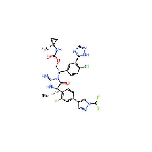 CC(C)(C)C[C@]1(c2ccc(-c3cnn(C(F)F)c3)cc2F)NC(=N)N([C@H](COC(=O)NC2(C(F)(F)F)CC2)c2ccc(Cl)c(-c3ncn[nH]3)c2)C1=O